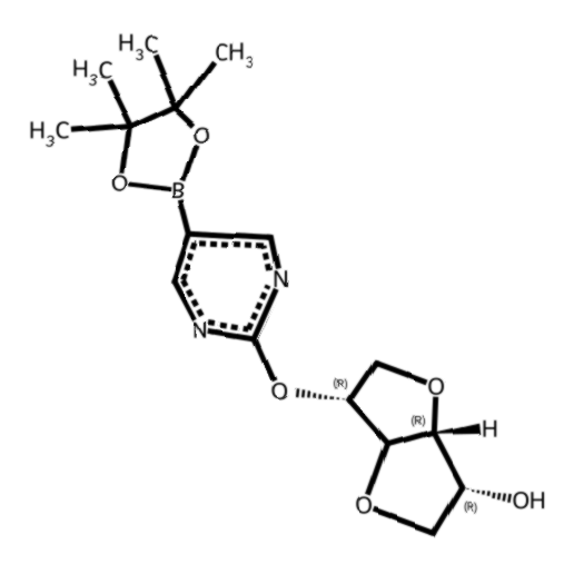 CC1(C)OB(c2cnc(O[C@@H]3CO[C@H]4C3OC[C@H]4O)nc2)OC1(C)C